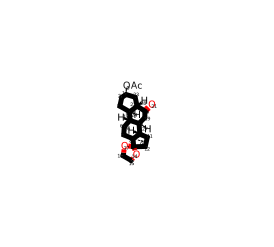 CC(=O)O[C@H]1CC[C@@H]2[C@H]3CC[C@@]4(C)[C@@H](CCC45OCCO5)[C@@H]3CC(=O)[C@H]2C1